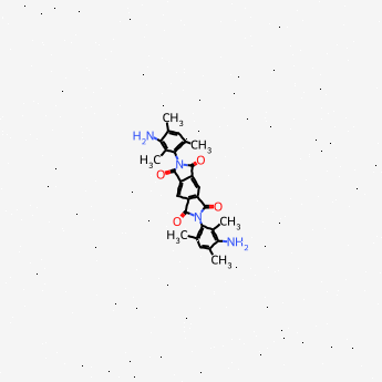 Cc1cc(C)c(-n2c(=O)c3cc4c(=O)n(-c5c(C)cc(C)c(N)c5C)c(=O)c4cc3c2=O)c(C)c1N